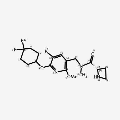 COc1nc(OC2CCC(F)(F)CC2)c(F)cc1CN(C)C(=O)[C@@H]1CCN1